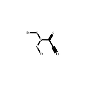 C#CC(=S)N(SCC)SCC